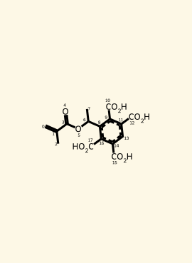 C=C(C)C(=O)OC(C)c1c(C(=O)O)c(C(=O)O)cc(C(=O)O)c1C(=O)O